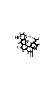 Cc1nc2c(cc1C(C)C)CC(C[C@H](C)c1cnc3c(c1)NCCN3)CN2